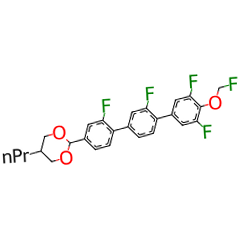 CCCC1COC(c2ccc(-c3ccc(-c4cc(F)c(OCF)c(F)c4)c(F)c3)c(F)c2)OC1